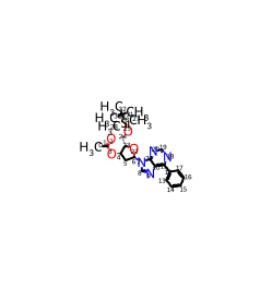 CC(=O)O[C@H]1C[C@H](n2cnc3c(-c4ccccc4)ncnc32)O[C@H]1CO[Si](C)(C)C(C)(C)C